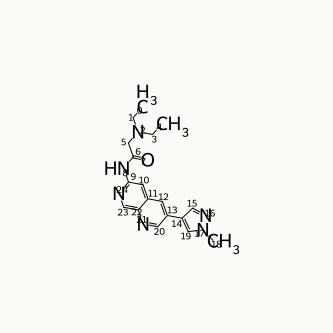 CCN(CC)CC(=O)Nc1cc2cc(-c3cnn(C)c3)cnc2cn1